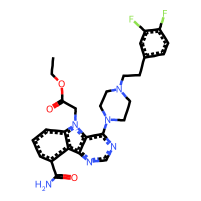 CCOC(=O)Cn1c2cccc(C(N)=O)c2c2ncnc(N3CCN(CCc4ccc(F)c(F)c4)CC3)c21